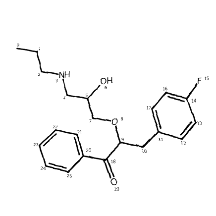 CCCNCC(O)COC(Cc1ccc(F)cc1)C(=O)c1ccccc1